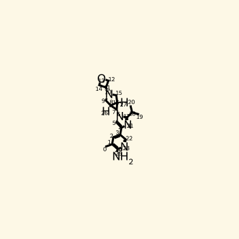 Cc1cc(-c2cn([C@H]3[C@@H]4CN(C5COC5)C[C@@H]43)c(C(C)C)n2)cnc1N